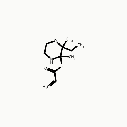 C=CC(=O)OC1(C)NCCOC1(C)CC